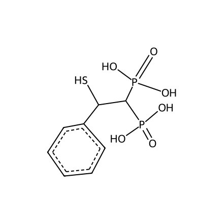 O=P(O)(O)C(C(S)c1ccccc1)P(=O)(O)O